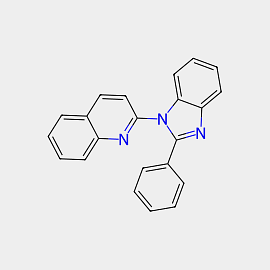 c1ccc(-c2nc3ccccc3n2-c2ccc3ccccc3n2)cc1